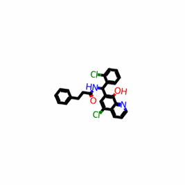 O=C(CCc1ccccc1)NC(c1ccccc1Cl)c1cc(Cl)c2cccnc2c1O